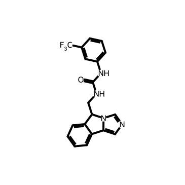 O=C(NCC1c2ccccc2-c2cncn21)Nc1cccc(C(F)(F)F)c1